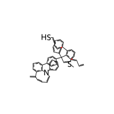 C=C/C=C\C=C/C(C(=C)/C=C\C=C/S)(c1ccc(-c2cccc3c2N(c2ccccc2)/C=C\C=C/C3=C)cc1)c1c(SC)cccc1-c1ccccc1